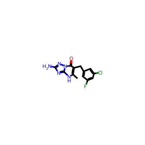 Cc1[nH]c2nc(N)nn2c(=O)c1Cc1cc(F)cc(Cl)c1